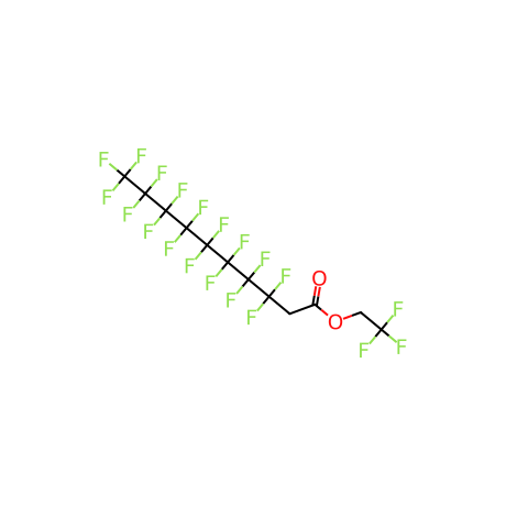 O=C(CC(F)(F)C(F)(F)C(F)(F)C(F)(F)C(F)(F)C(F)(F)C(F)(F)C(F)(F)F)OCC(F)(F)F